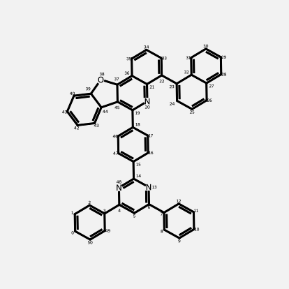 c1ccc(-c2cc(-c3ccccc3)nc(-c3ccc(-c4nc5c(-c6cccc7ccccc67)cccc5c5oc6ccccc6c45)cc3)n2)cc1